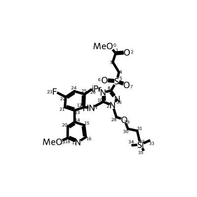 COC(=O)CCS(=O)(=O)c1nc(Nc2c(-c3ccnc(OC)c3)cc(F)cc2C(C)C)n(COCC[Si](C)(C)C)n1